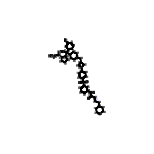 N#CC(c1cccc(F)c1)(C1CCN(CC2CN(c3ccc(S(=O)(=O)c4cccc(NC(=O)/C=C/CN5CCOCC5)c4)cc3)C2)CC1)[C@H]1CCC[C@@H]1NC(=O)O